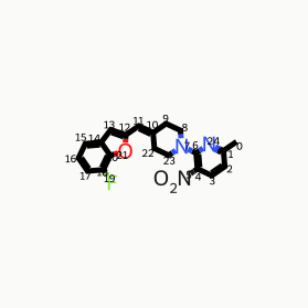 Cc1ccc([N+](=O)[O-])c(N2CCC(=Cc3cc4cccc(F)c4o3)CC2)n1